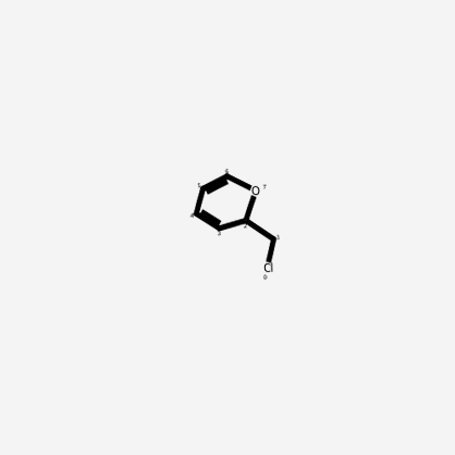 ClCC1C=CC=CO1